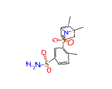 CC1=C2C=CCC1(C)N2S(=O)(=O)c1cc(S(N)(=O)=O)ccc1C